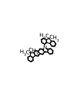 CC1(C)c2ccccc2-c2cc3cc4c5ccccc5n(-c5cccc6c5-c5ccccc5C6(C)C)c4cc3cc21